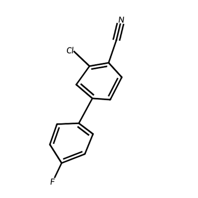 N#Cc1ccc(-c2ccc(F)cc2)cc1Cl